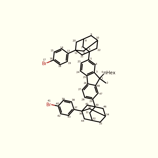 CCCCCCC1(C)c2cc(C34CC5CC(CC(c6ccc(Br)cc6)(C5)C3)C4)ccc2-c2ccc(C34CC5CC(CC(c6ccc(Br)cc6)(C5)C3)C4)cc21